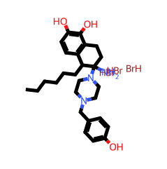 Br.Br.Br.CCCCCCC1c2ccc(O)c(O)c2CCC1(N)N1CCN(Cc2ccc(O)cc2)CC1